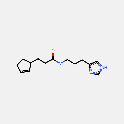 O=C(CCC1C=CCC1)NCCCc1c[nH]cn1